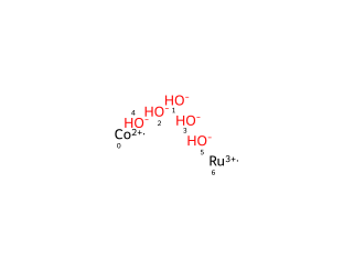 [Co+2].[OH-].[OH-].[OH-].[OH-].[OH-].[Ru+3]